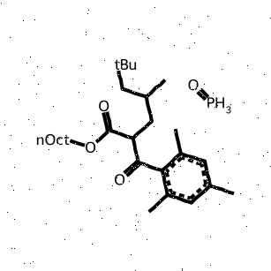 CCCCCCCCOC(=O)C(CC(C)CC(C)(C)C)C(=O)c1c(C)cc(C)cc1C.O=[PH3]